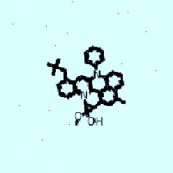 COC1(O)C2c3cc(C)c4cccc5c4c3-c3c(cc4c(CC(C)(C)C)cccc4[n+]3C21)N5c1ccccc1